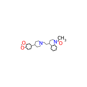 CC(=O)N1CCC(CCN2CCC(c3ccc4c(c3)OCO4)CC2)c2ccccc21